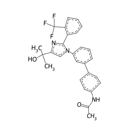 CC(=O)Nc1ccc(-c2cccc(-n3cc(C(C)(C)O)nc3-c3ccccc3C(F)(F)F)c2)cc1